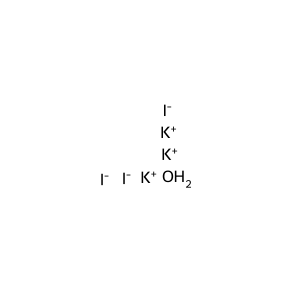 O.[I-].[I-].[I-].[K+].[K+].[K+]